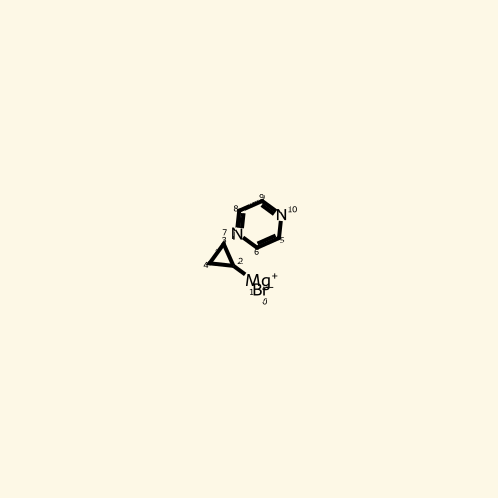 [Br-].[Mg+][CH]1CC1.c1cnccn1